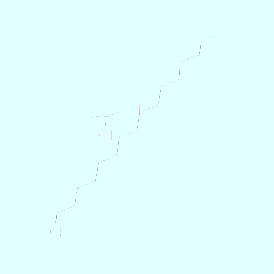 CCCCCCCCCCCCCCCC.OBO